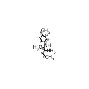 C/C=C\C(N)=C(/C)Nc1ccc(CC)cc1